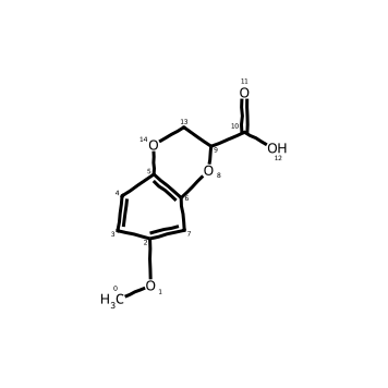 COc1ccc2c(c1)OC(C(=O)O)CO2